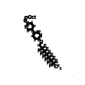 CCCCCCCCOc1ccc(-c2ccc(OCC(F)(F)C(F)(F)C(F)(F)C(F)(F)C(F)(F)C(F)(F)C(F)(F)F)nn2)cn1